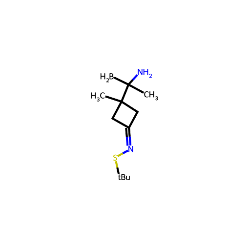 BC(C)(N)C1(C)CC(=NSC(C)(C)C)C1